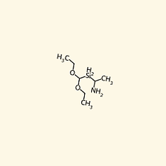 CCOC(OCC)[SiH2]C(C)N